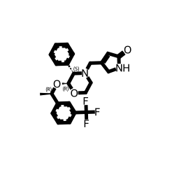 C[C@@H](O[C@H]1OCCN(CC2=CC(=O)NC2)[C@H]1c1ccccc1)c1cccc(C(F)(F)F)c1